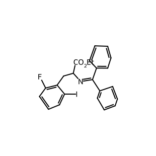 CCOC(=O)C(Cc1c(F)cccc1I)N=C(c1ccccc1)c1ccccc1